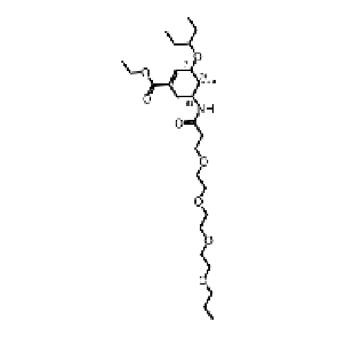 CCCOCCOCCOCCOCCC(=O)N[C@H]1CC(C(=O)OCC)=C[C@@H](OC(CC)CC)[C@@H]1C